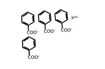 O=C([O-])c1ccccc1.O=C([O-])c1ccccc1.O=C([O-])c1ccccc1.O=C([O-])c1ccccc1.[Ir+4]